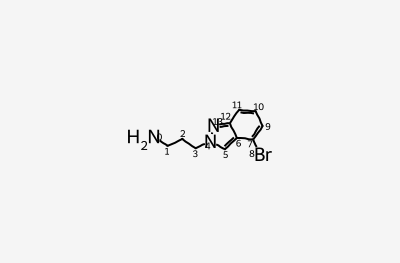 NCCCn1cc2c(Br)cccc2n1